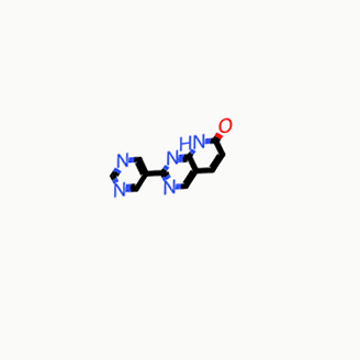 O=c1ccc2cnc(-c3cncnc3)nc2[nH]1